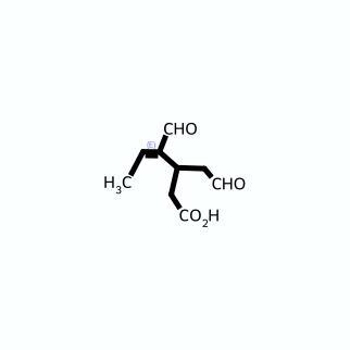 C/C=C(/C=O)C(CC=O)CC(=O)O